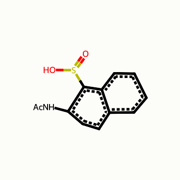 CC(=O)Nc1ccc2ccccc2c1S(=O)O